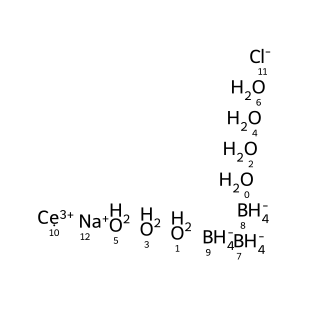 O.O.O.O.O.O.O.[BH4-].[BH4-].[BH4-].[Ce+3].[Cl-].[Na+]